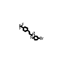 Cn1c(C=Cc2ccc(C(F)(F)F)cc2)nc2ccc(Br)cc21